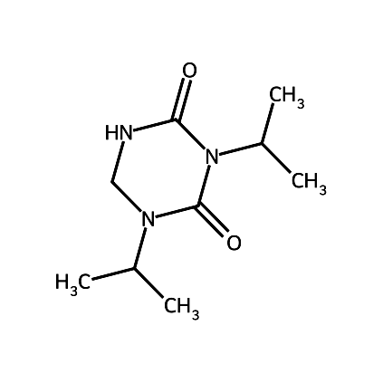 CC(C)N1CNC(=O)N(C(C)C)C1=O